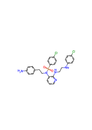 Nc1ccc(CCN(c2cccnc2NCCNc2ccc(Cl)cc2)S(=O)(=O)c2ccc(Cl)cc2)cc1